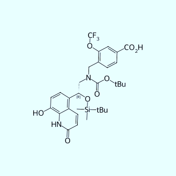 CC(C)(C)OC(=O)N(Cc1ccc(C(=O)O)cc1OC(F)(F)F)C[C@H](O[Si](C)(C)C(C)(C)C)c1ccc(O)c2[nH]c(=O)ccc12